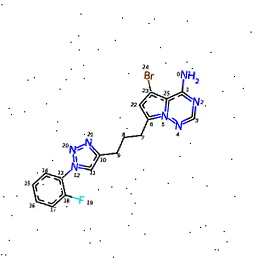 Nc1ncnn2c(CCCc3cn(-c4ccccc4F)nn3)cc(Br)c12